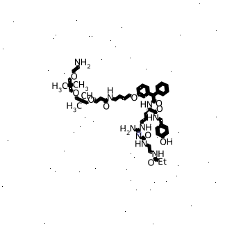 CCC(=O)NCCNC(=O)/N=C(/N)NCCC[C@@H](NC(=O)C(c1ccccc1)c1cccc(OCCCCNC(=O)CCOCC(C)(C)COCC(C)(C)COCCN)c1)C(=O)NCc1ccc(O)cc1